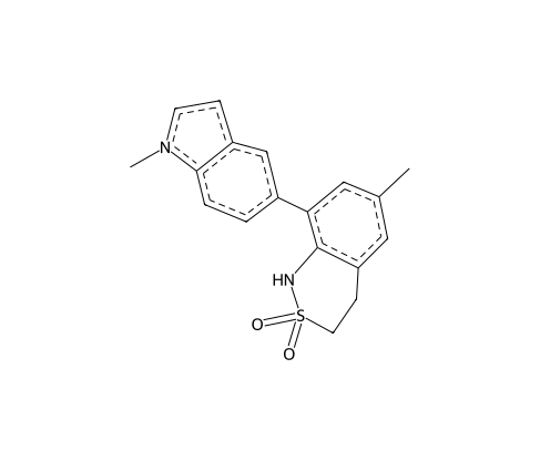 Cc1cc2c(c(-c3ccc4c(ccn4C)c3)c1)NS(=O)(=O)CC2